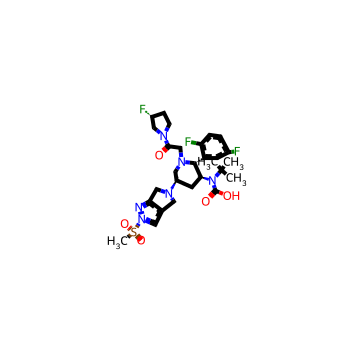 CC(C)(C)N(C(=O)O)[C@H]1C[C@@H](N2Cc3cn(S(C)(=O)=O)nc3C2)CN(CC(=O)N2CC[C@@H](F)C2)[C@@H]1c1cc(F)ccc1F